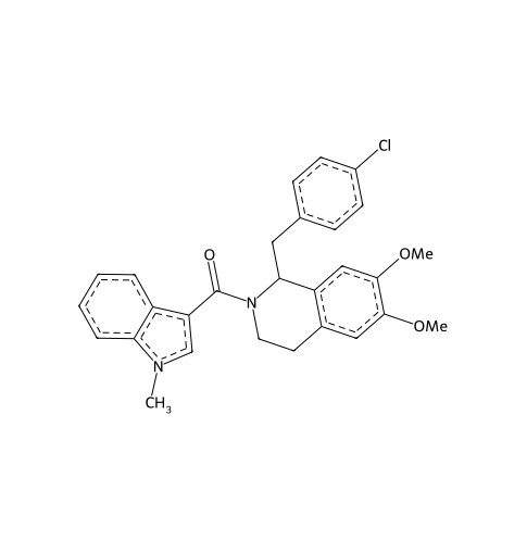 COc1cc2c(cc1OC)C(Cc1ccc(Cl)cc1)N(C(=O)c1cn(C)c3ccccc13)CC2